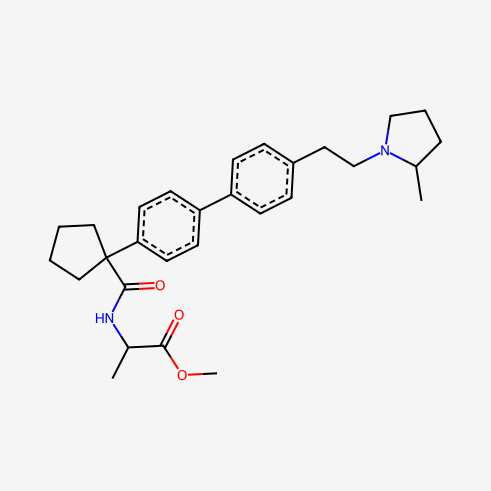 COC(=O)C(C)NC(=O)C1(c2ccc(-c3ccc(CCN4CCCC4C)cc3)cc2)CCCC1